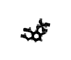 Cc1ncc(CO)c(C=O)c1OP(=O)(O)O